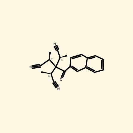 C[C@H](C#N)C(C(=O)c1ccc2ccccc2c1)([C@H](C)C#N)[C@H](C)C#N